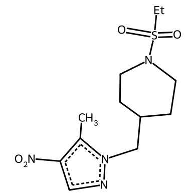 CCS(=O)(=O)N1CCC(Cn2ncc([N+](=O)[O-])c2C)CC1